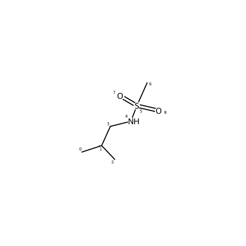 C[C](C)CNS(C)(=O)=O